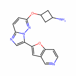 NC1CC(Oc2ccc3ncc(-c4cc5cnccc5o4)n3n2)C1